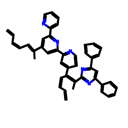 C=C/C=C\C=C(/C)c1cc(-c2ccccn2)nc(-c2cc(C(/C=C\C=C)=C(/C)c3nc(-c4ccccc4)cc(-c4ccccc4)n3)ccn2)c1